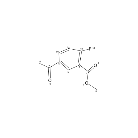 COC(=O)c1cc(C(C)=O)ccc1F